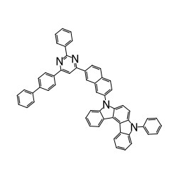 c1ccc(-c2ccc(-c3cc(-c4ccc5ccc(-n6c7ccccc7c7c8c9ccccc9n(-c9ccccc9)c8ccc76)cc5c4)nc(-c4ccccc4)n3)cc2)cc1